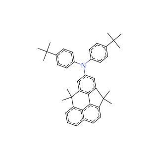 CC(C)(C)c1ccc(N(c2ccc(C(C)(C)C)cc2)c2cc3c4c(c2)C(C)(C)c2cccc5ccc(c-4c25)C3(C)C)cc1